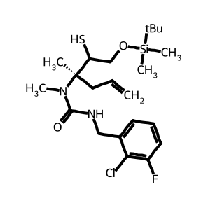 C=CC[C@](C)(C(S)CO[Si](C)(C)C(C)(C)C)N(C)C(=O)NCc1cccc(F)c1Cl